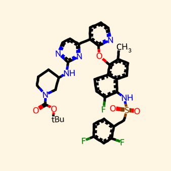 Cc1ccc2c(NS(=O)(=O)Cc3ccc(F)cc3F)c(F)ccc2c1Oc1ncccc1-c1ccnc(NC2CCCN(C(=O)OC(C)(C)C)C2)n1